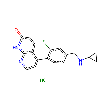 Cl.O=c1ccc2c(-c3ccc(CNC4CC4)cc3F)ccnc2[nH]1